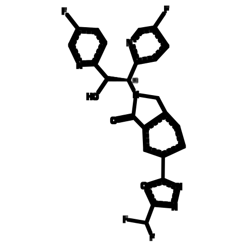 O=C1c2cc(-c3nnc(C(F)F)o3)ccc2CN1[C@H](c1ccc(F)cn1)C(O)c1ccc(F)cn1